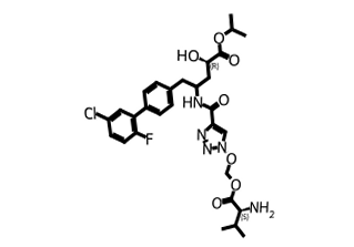 CC(C)OC(=O)[C@H](O)CC(Cc1ccc(-c2cc(Cl)ccc2F)cc1)NC(=O)c1cn(OCOC(=O)[C@@H](N)C(C)C)nn1